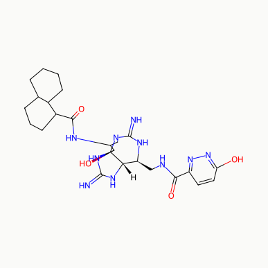 N=C1N[C@H]2[C@H](CNC(=O)c3ccc(O)nn3)NC(=N)N3CC(NC(=O)C4CCCC5CCCCC54)[C@@H](O)[C@]23N1